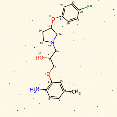 Cc1ccc(N)c(OCC(O)CN2CCC(Oc3ccc(F)cc3)C2)c1